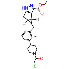 CCOC(=O)c1n[nH]c2c1[C@@H]1C(Cc3cccc(C4CCN(C(=O)CCl)CC4)c3C)[C@@H]1C2